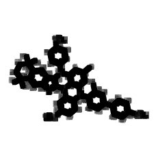 Cc1cc2c3c(c1)N(c1ccc(C(C)(C)C)cc1)c1c(sc4cc5c(cc14)C(C)(C)CCC5(C)C)B3c1cc(C(C)(C)C)ccc1N2c1ccc(-c2ccc(C(C)(C)C)cc2)cc1C